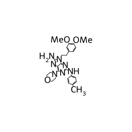 COc1ccc(CCn2c(N)nc3c(N4CCOCC4)nc(Nc4ccc(C)cc4)nc32)cc1OC